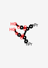 CCCC1CCC(C2CCC(C#CC#CC3(OC(=O)C4CCC(OCCCO)CC4)CCC(C4CCC(CCC)CC4)CC3)(OC(=O)C3CCC(OCCCO)CC3)CC2)CC1